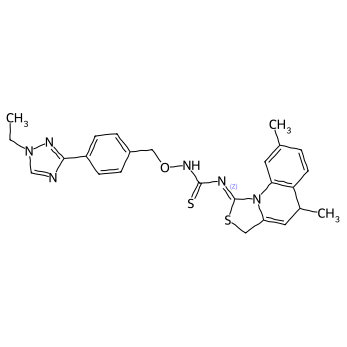 CCn1cnc(-c2ccc(CONC(=S)/N=C3\SCC4=CC(C)c5ccc(C)cc5N43)cc2)n1